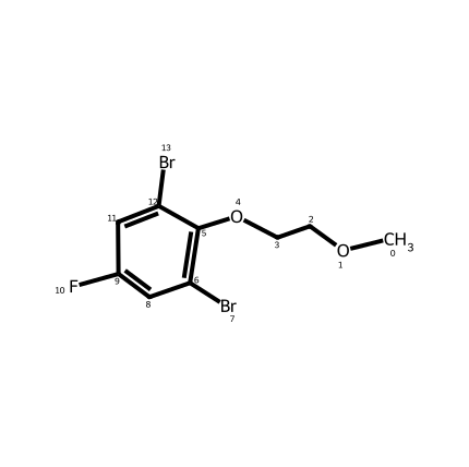 COCCOc1c(Br)cc(F)cc1Br